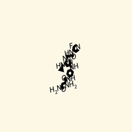 NC(=O)C[C@@H](N)C(=O)N[C@H]1CC[C@H](Nc2cc(NC3CC3)c3ncc(C(=O)Nc4ccncc4F)n3n2)CC1